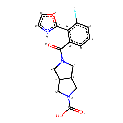 O=C(O)N1CC2CN(C(=O)c3cccc(F)c3-c3ncco3)CC2C1